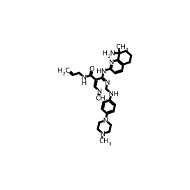 C=CCNC(=O)C(=C/N=C)/C(=N\CNc1ccc(N2CCN(C)CC2)cc1)Nc1ccc2c(n1)C(C)(N)CCC2